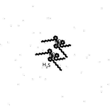 CCCCCCCCCc1ccccc1OP(Oc1ccccc1CCCCCCCCC)Oc1ccccc1CCCCCCCCC.CCCCCCCCCc1ccccc1OP(Oc1ccccc1CCCCCCCCC)Oc1ccccc1CCCCCCCCC.S